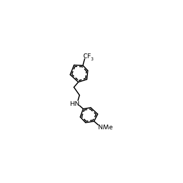 CNc1ccc(NCCc2ccc(C(F)(F)F)cc2)cc1